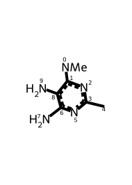 CNc1nc(C)nc(N)c1N